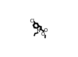 CCCn1c(C(=O)OCC)cc2cc(Cl)ccc21